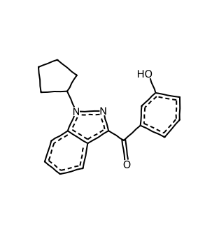 O=C(c1cccc(O)c1)c1nn(C2CCCC2)c2ccccc12